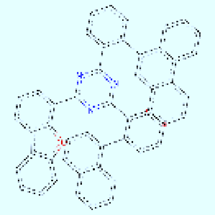 c1ccc(-c2cccc3ccccc23)c(-c2nc(-c3ccccc3-c3cc4ccccc4c4ccccc34)nc(-c3cccc4c3oc3ccccc34)n2)c1